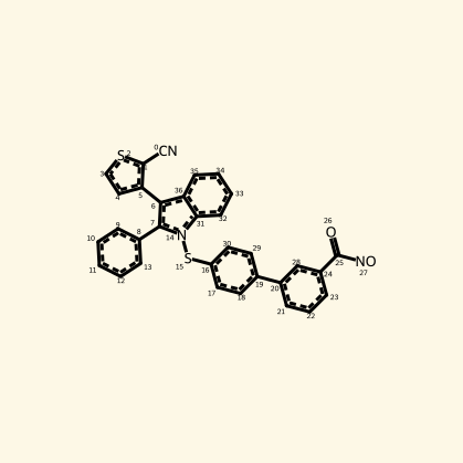 N#Cc1sccc1-c1c(-c2ccccc2)n(Sc2ccc(-c3cccc(C(=O)N=O)c3)cc2)c2ccccc12